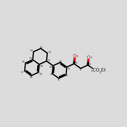 CCOC(=O)C(=O)CC(=O)c1cccc(C2CCCc3ccccc32)c1